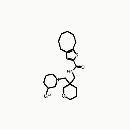 O=C(NCC1(CN2CCCC(O)C2)CCCOC1)c1cc2c(s1)CCCCCC2